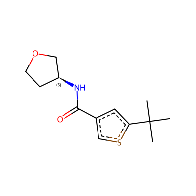 CC(C)(C)c1cc(C(=O)N[C@H]2CCOC2)cs1